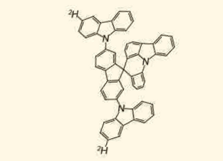 [2H]c1ccc2c(c1)c1ccccc1n2-c1ccc2c(c1)C1(c3cc(-n4c5ccccc5c5cc([2H])ccc54)ccc3-2)c2ccccc2-n2c3ccccc3c3cccc1c32